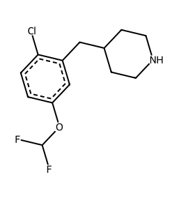 FC(F)Oc1ccc(Cl)c(CC2CCNCC2)c1